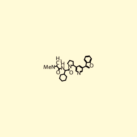 CNC(C)C(=O)NC(C(=O)N1CCCC1c1cncc(-c2coc3ccccc23)c1)C1CCCCC1